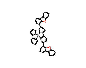 c1ccc([Si]2(c3ccccc3)c3cc(-c4cccc5c4oc4ccccc45)ccc3-c3ccc(-c4cccc5c4oc4ccccc45)cc32)cc1